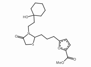 COC(=O)c1ccc(CCCC2SCC(=O)N2CCC2(O)CCCCC2)o1